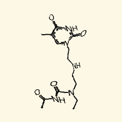 CCN(CCNCCn1cc(C)c(=O)[nH]c1=O)C(=O)NC(C)=O